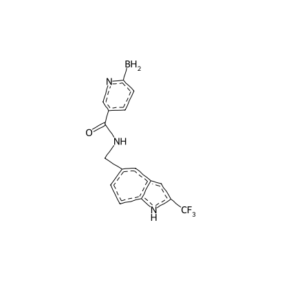 Bc1ccc(C(=O)NCc2ccc3[nH]c(C(F)(F)F)cc3c2)cn1